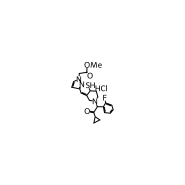 COC(=O)Cn1ccc(C=C2CN(C(C(=O)C3CC3)c3ccccc3F)CCC2S)n1.Cl